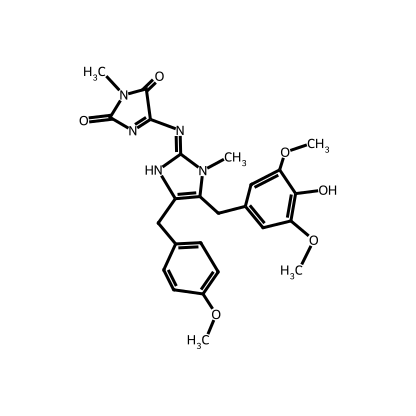 COc1ccc(Cc2[nH]/c(=N\C3=NC(=O)N(C)C3=O)n(C)c2Cc2cc(OC)c(O)c(OC)c2)cc1